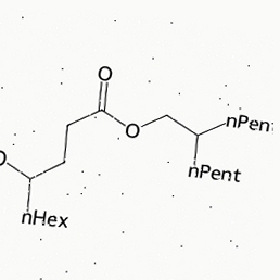 CCCCCCC(O)CCC(=O)OCC(CCCCC)CCCCC